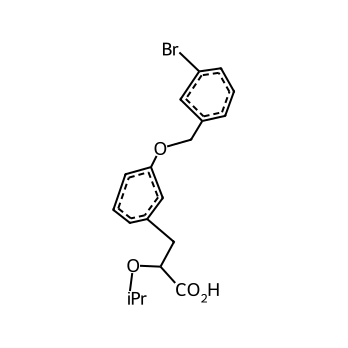 CC(C)OC(Cc1cccc(OCc2cccc(Br)c2)c1)C(=O)O